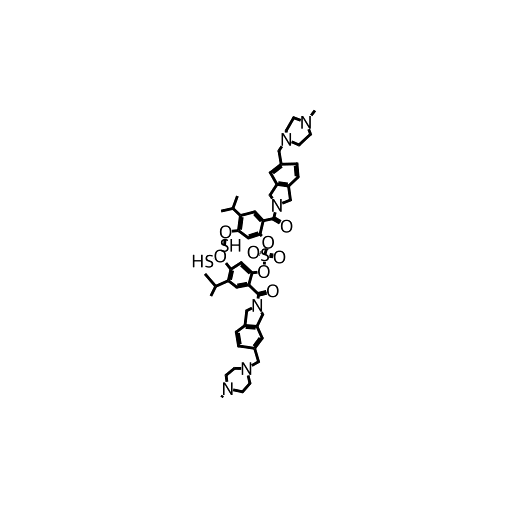 CC(C)c1cc(C(=O)N2Cc3ccc(CN4CCN(C)CC4)cc3C2)c(OS(=O)(=O)Oc2cc(OS)c(C(C)C)cc2C(=O)N2Cc3ccc(CN4CCN(C)CC4)cc3C2)cc1OS